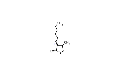 CCCCC/C=C1/C(=O)OCC1C